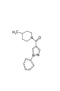 CC1CCN(C(=O)c2cnn(-c3ccccc3)c2)CC1